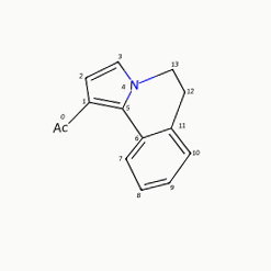 CC(=O)c1ccn2c1-c1ccccc1CC2